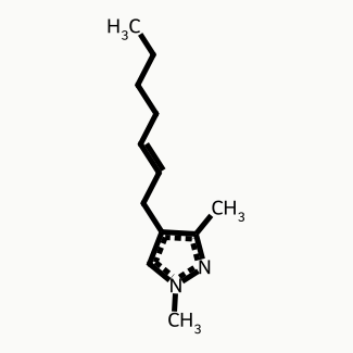 CCCC/C=C/Cc1cn(C)nc1C